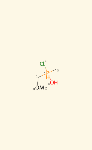 COC[PH](C)(O)Cl